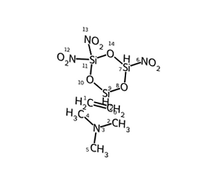 C=C.CN(C)C.O=[N+]([O-])[SiH]1O[SiH2]O[Si]([N+](=O)[O-])([N+](=O)[O-])O1